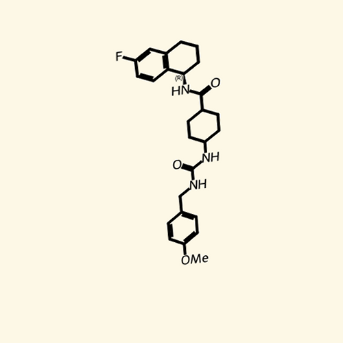 COc1ccc(CNC(=O)NC2CCC(C(=O)N[C@@H]3CCCc4cc(F)ccc43)CC2)cc1